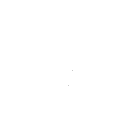 C[SiH](C)C1(C2([SiH](C)CCCS)CCCCO2)CCCCO1